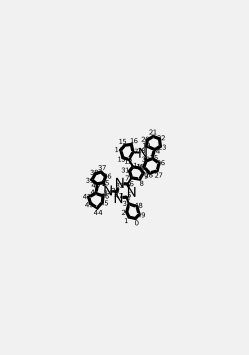 c1ccc(-c2nc(-c3cccc(-c4ccccc4-n4c5ccccc5c5ccccc54)c3)nc(-n3c4ccccc4c4ccccc43)n2)cc1